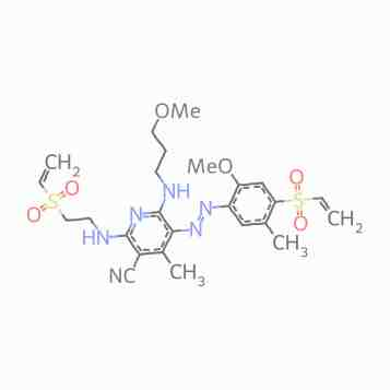 C=CS(=O)(=O)CCNc1nc(NCCCOC)c(/N=N/c2cc(C)c(S(=O)(=O)C=C)cc2OC)c(C)c1C#N